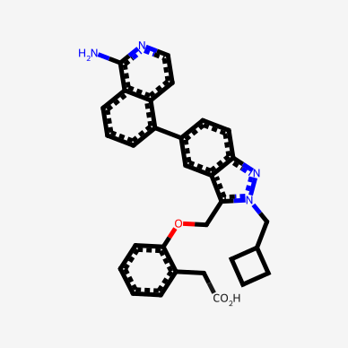 Nc1nccc2c(-c3ccc4nn(CC5CCC5)c(COc5ccccc5CC(=O)O)c4c3)cccc12